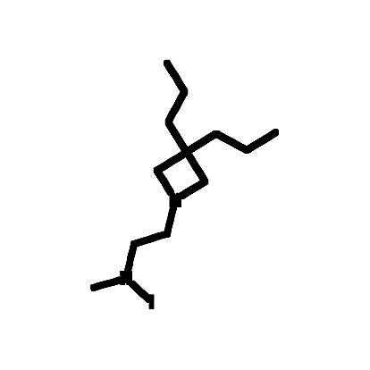 CCCC1(CCC)CN(CCN(C)I)C1